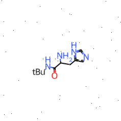 CC(C)(C)NC(=O)C(N)Cc1cnc[nH]1